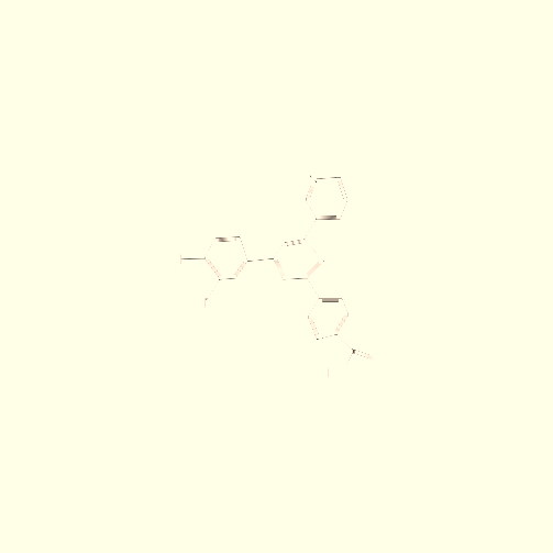 O=C(O)c1ccc(-c2cc(-c3cccnc3)cc(-c3ccc(Cl)c(Cl)c3)c2)cc1